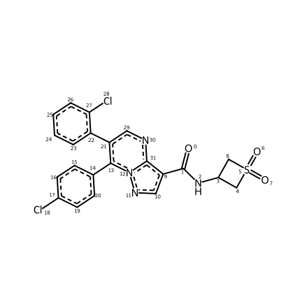 O=C(NC1CS(=O)(=O)C1)c1cnn2c(-c3ccc(Cl)cc3)c(-c3ccccc3Cl)cnc12